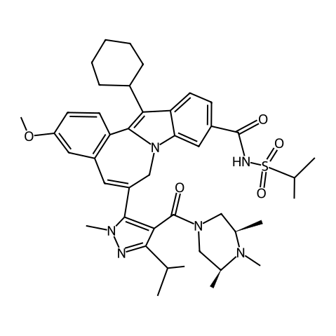 COc1ccc2c(c1)C=C(c1c(C(=O)N3C[C@@H](C)N(C)[C@@H](C)C3)c(C(C)C)nn1C)Cn1c-2c(C2CCCCC2)c2ccc(C(=O)NS(=O)(=O)C(C)C)cc21